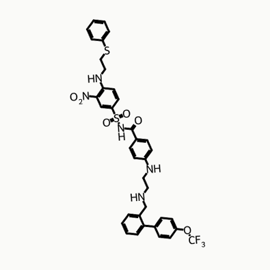 O=C(NS(=O)(=O)c1ccc(NCCSc2ccccc2)c([N+](=O)[O-])c1)c1ccc(NCCNCc2ccccc2-c2ccc(OC(F)(F)F)cc2)cc1